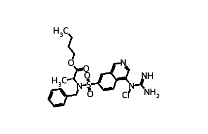 CCCCOC(=O)[C@H](C)N(Cc1ccccc1)S(=O)(=O)c1ccc2c(N(Cl)C(=N)N)cncc2c1